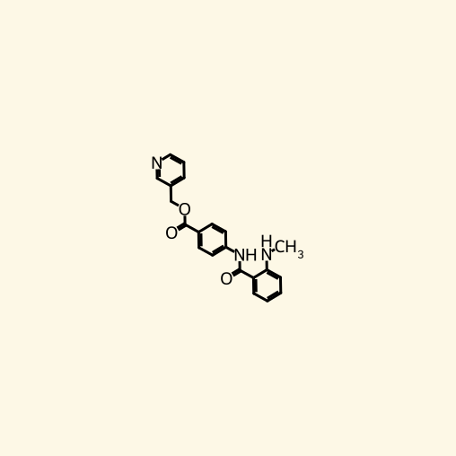 CNc1ccccc1C(=O)Nc1ccc(C(=O)OCc2cccnc2)cc1